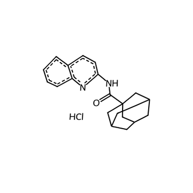 Cl.O=C(Nc1ccc2ccccc2n1)C12CC3CC(CC(C3)C1)C2